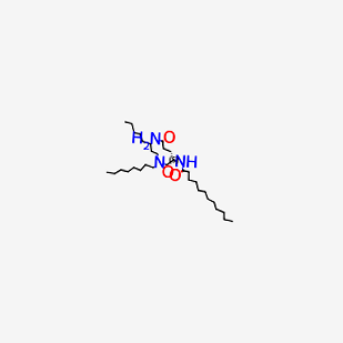 CCCCCCCCCCCC(=O)N[C@@H](CCC(N)=O)C(=O)N(CCCCCCCC)CCCCCCCC